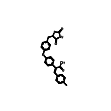 Cc1ccc(C=C(C(=O)O)c2ccc(Oc3ccc(CC4SC(=O)NC4=O)cc3)cc2)cc1